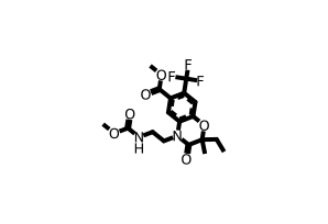 CCC1(C)Oc2cc(C(F)(F)F)c(C(=O)OC)cc2N(CCNC(=O)OC)C1=O